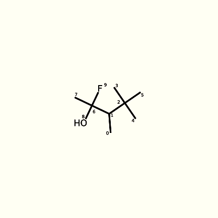 CC(C(C)(C)C)C(C)(O)F